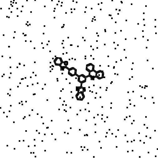 c1ccc2oc(-c3ccc(-c4cc(-c5nc6ccccc6s5)cc(-c5nc6ccccc6c6ccccc56)c4)cc3)nc2c1